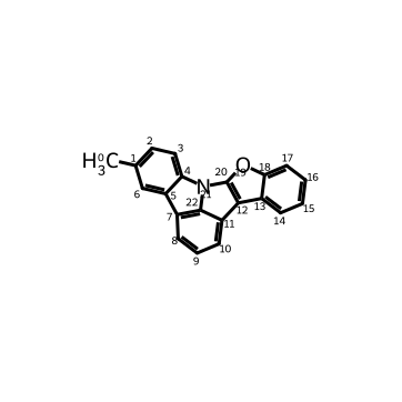 Cc1ccc2c(c1)c1cccc3c4c5ccccc5oc4n2c13